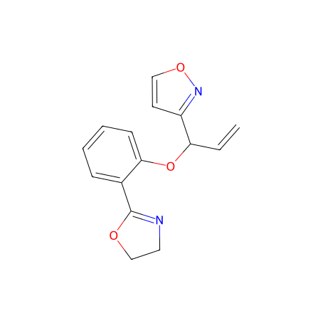 C=CC(Oc1ccccc1C1=NCCO1)c1ccon1